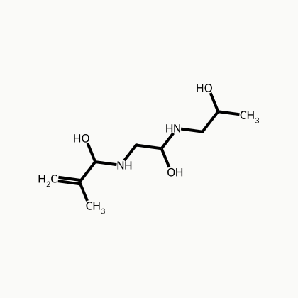 C=C(C)C(O)NCC(O)NCC(C)O